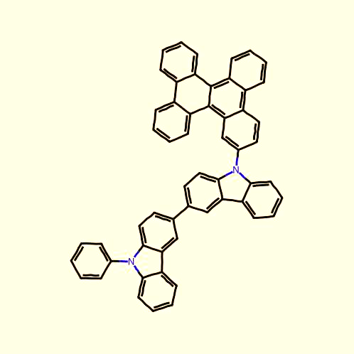 c1ccc(-n2c3ccccc3c3cc(-c4ccc5c(c4)c4ccccc4n5-c4ccc5c6ccccc6c6c7ccccc7c7ccccc7c6c5c4)ccc32)cc1